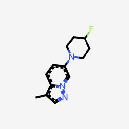 Cc1cnn2cc(N3CCC(F)CC3)ccc12